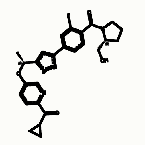 C[C@@H](Oc1ccc(C(=O)C2CC2)nc1)c1cc(-c2ccc(C(=O)N3CCC[C@@H]3CO)c(F)c2)ns1